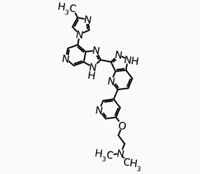 Cc1cn(-c2cncc3[nH]c(-c4n[nH]c5ccc(-c6cncc(OCCN(C)C)c6)nc45)nc23)cn1